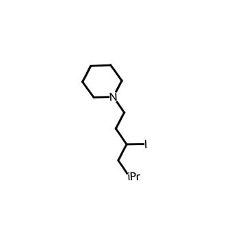 CC(C)CC(I)CCN1CCCCC1